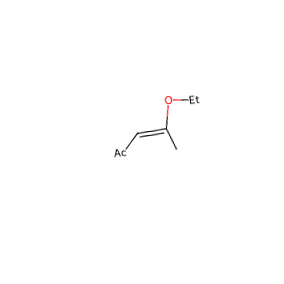 CCO/C(C)=C/C(C)=O